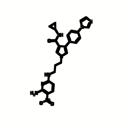 Nc1nc(NCCCn2cc(C(=O)NC3CC3)c(-c3ccc(-n4ccnc4)cc3)c2)ccc1[N+](=O)[O-]